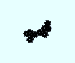 c1ccc(-n2c3ccc(-c4ccc5c(c4)c4ccccc4n5-c4ccc5c6c(nccc46)-c4ccccc4-5)cc3c3ccc4ccccc4c32)cc1